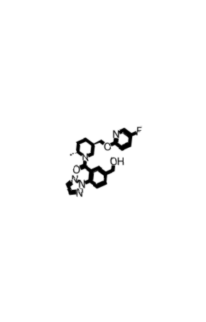 C[C@@H]1CC[C@@H](COc2ccc(F)cn2)CN1C(=O)c1cc(CO)ccc1-n1nccn1